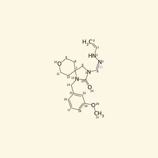 C=CN/N=C\N1CC2(CCOCC2)N(Cc2cccc(OC)c2)C1=O